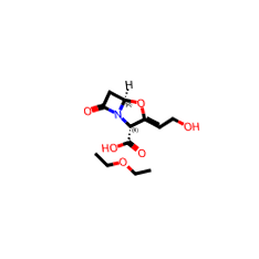 CCOCC.O=C(O)[C@H]1C(=CCO)O[C@@H]2CC(=O)N12